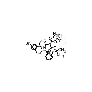 CC(C)(C)OC(=O)N(C(=O)OC(C)(C)C)C1=NC2(CCS1)c1cc(Br)sc1CCC2Cc1ccccc1